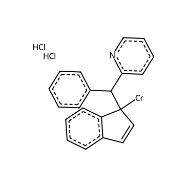 Cl.Cl.[Cr][C]1(C(c2ccccc2)c2ccccn2)C=Cc2ccccc21